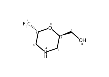 OC[C@H]1CNC[C@H](C(F)(F)F)O1